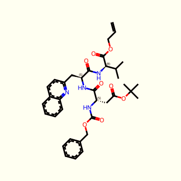 C=CCOC(=O)[C@H](NC(=O)[C@H](Cc1ccc2ccccc2n1)NC(=O)[C@H](CC(=O)OC(C)(C)C)NC(=O)OCc1ccccc1)C(C)C